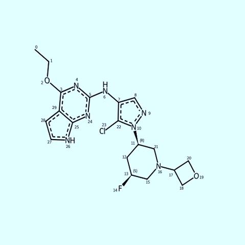 CCOc1nc(Nc2cnn([C@@H]3C[C@H](F)CN(C4COC4)C3)c2Cl)nc2[nH]ccc12